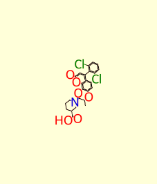 CC(Oc1ccc2c(-c3c(Cl)cccc3Cl)cc(=O)oc2c1)C(=O)N1CCC[C@H](C(=O)O)C1